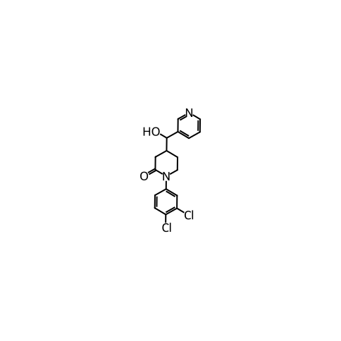 O=C1CC(C(O)c2cccnc2)CCN1c1ccc(Cl)c(Cl)c1